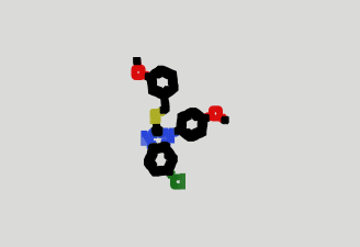 COc1ccc(-n2c(SCc3cccc(OC)c3)nc3ccc(Cl)cc32)cc1